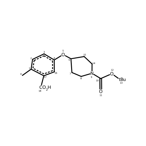 Cc1ccc(OC2CCN(C(=O)OC(C)(C)C)CC2)cc1C(=O)O